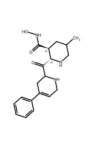 C[C]1CN[C@H](C(=O)C2CC(c3ccccc3)=CCN2)[C@@H](C(=O)NO)C1